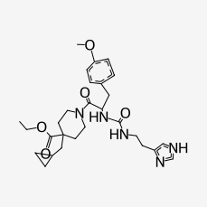 CCOC(=O)C1(CC2CC2)CCN(C(=O)C(Cc2ccc(OC)cc2)NC(=O)NCCc2c[nH]cn2)CC1